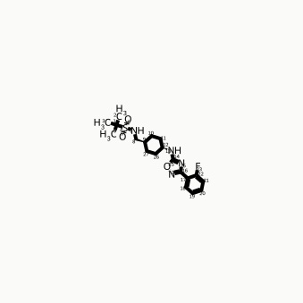 CC(C)(C)S(=O)(=O)NC[C@H]1CC[C@H](Nc2nc(-c3ccccc3F)no2)CC1